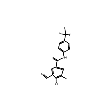 O=Cc1cc(C(=O)Nc2ccc(C(F)(F)F)cc2)cc(F)c1O